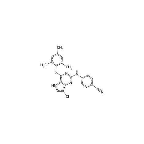 Cc1cc(C)c(Sc2nc(Nc3ccc(C#N)cc3)nc3c(Cl)c[nH]c23)c(C)c1